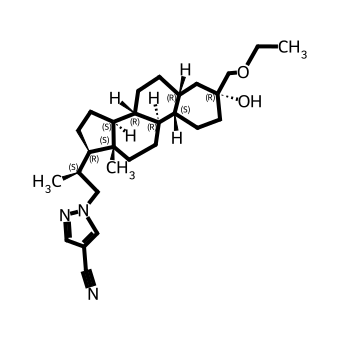 CCOC[C@@]1(O)CC[C@H]2[C@H](CC[C@@H]3[C@@H]2CC[C@]2(C)[C@@H]([C@H](C)Cn4cc(C#N)cn4)CC[C@@H]32)C1